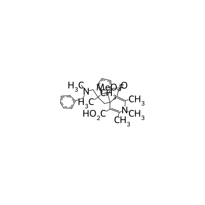 COC(=O)C1=C(C)N(C)C(C)=C(C(=O)O)C1(CC(C)(C)CN(C)Cc1ccccc1)c1ccccc1F